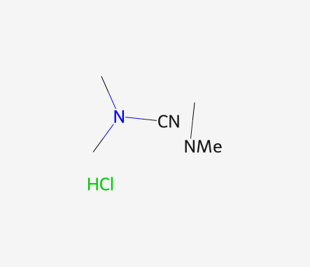 CN(C)C#N.CNC.Cl